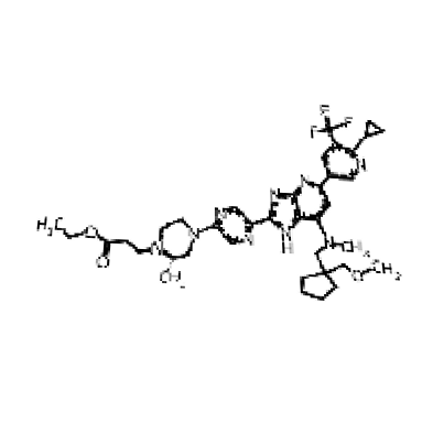 CCOC(=O)CCN1CCN(c2cnc(-c3nc4nc(-c5cnc(C6CC6)c(C(F)(F)F)c5)cc(N(C)CC5(COC)CCCC5)c4[nH]3)cn2)C[C@@H]1C